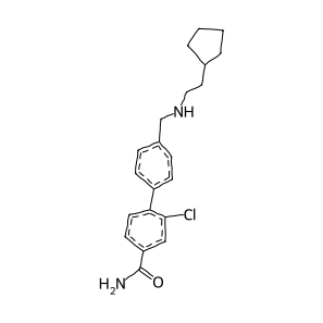 NC(=O)c1ccc(-c2ccc(CNCCC3CCCC3)cc2)c(Cl)c1